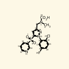 CN(Cc1cc(S(=O)(=O)c2cccnc2)n(-c2cc(F)ccc2Cl)n1)C(=O)O